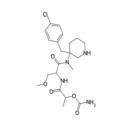 COCC(NC(=O)C(C)OC(N)=O)C(=O)N(C)C1(Cc2ccc(Cl)cc2)CCCNC1